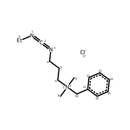 CCN=C=NCCC[N+](C)(C)Cc1ccccc1.[Cl-]